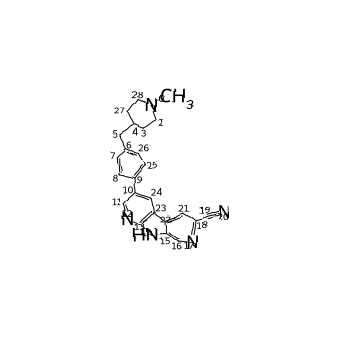 CN1CCC(Cc2ccc(-c3cnc4[nH]c5cnc(C#N)cc5c4c3)cc2)CC1